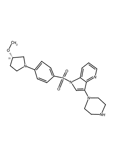 CO[C@H]1CCN(c2ccc(S(=O)(=O)n3cc(N4CCNCC4)c4ncccc43)cc2)C1